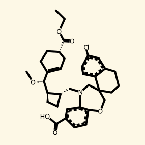 CCOC(=O)[C@@H]1CC=C([C@@H](OC)[C@@H]2CC[C@H]2CN2CC3(CCCc4cc(Cl)ccc43)COc3ccc(C(=O)O)cc32)CC1